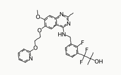 COc1cc2nc(C)nc(NCc3cccc(C(F)(F)C(C)(C)O)c3F)c2cc1OCCOc1ccccn1